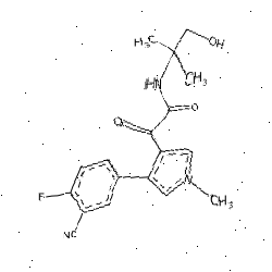 Cn1cc(C(=O)C(=O)NC(C)(C)CO)c(-c2ccc(F)c(C#N)c2)c1